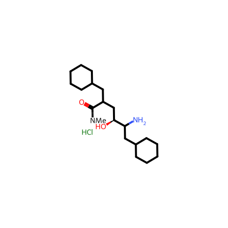 CNC(=O)C(CC1CCCCC1)C[C@H](O)C(N)CC1CCCCC1.Cl